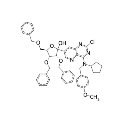 COc1ccc(CN(c2nc(Cl)nc3cc(C4(O)O[C@H](COCc5ccccc5)[C@@H](OCc5ccccc5)[C@H]4OCc4ccccc4)cnc23)C2CCCC2)cc1